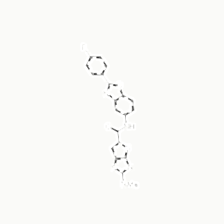 CNc1nc2sc(C(=O)Nc3ccc4oc(-c5ccc(F)cc5)nc4c3)cc2s1